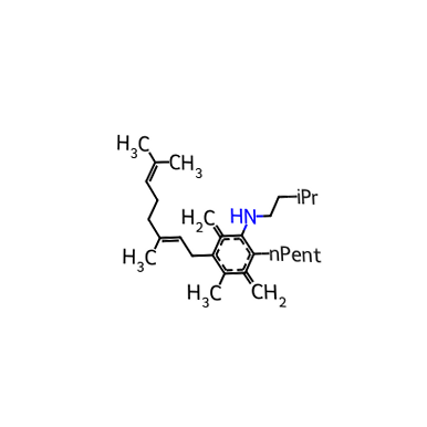 C=c1c(C)c(C/C=C(\C)CCC=C(C)C)c(=C)c(NCCC(C)C)c1CCCCC